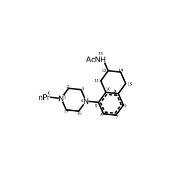 CCCN1CCN(c2cccc3c2CC(NC(C)=O)CC3)CC1